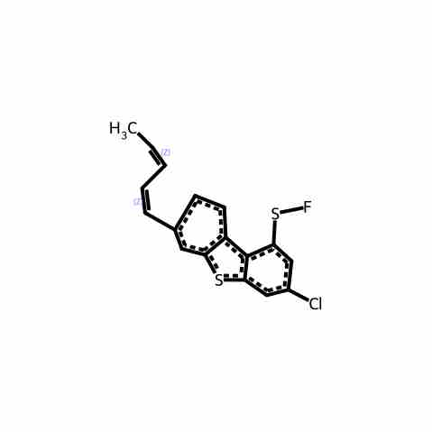 C/C=C\C=C/c1ccc2c(c1)sc1cc(Cl)cc(SF)c12